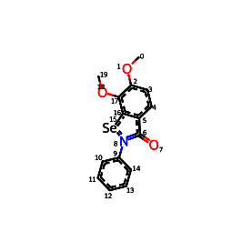 COc1ccc2c(=O)n(-c3ccccc3)[se]c2c1OC